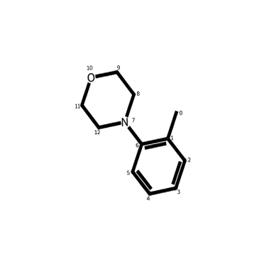 Cc1[c]cccc1N1CCOCC1